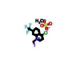 COS(=O)(=O)[O-].FC(F)(F)c1ccc2c(Cl)cc[n+](CI)c2c1